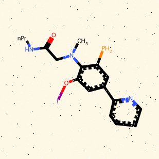 CCCNC(=O)CN(C)c1c(P)cc(-c2ccccn2)cc1OI